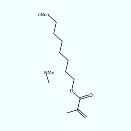 C=C(C)C(=O)OCCCCCCCCCCCCCCCC.CNC